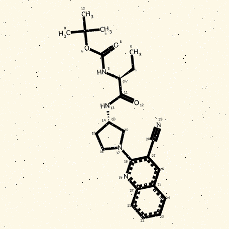 CC[C@H](NC(=O)OC(C)(C)C)C(=O)N[C@H]1CCN(c2nc3ccccc3cc2C#N)C1